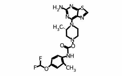 Cc1cc(OC(F)F)ccc1NC(=O)ON1CCN(c2nc(N)nc3scnc23)[C@@H](C)C1